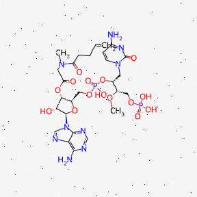 C=CCCC(=O)N(C)CC(=O)O[C@H]1[C@@H](O)[C@H](n2cnc3c(N)ncnc32)O[C@@H]1COP(=O)(O)O[C@@H](Cn1ccc(N)nc1=O)[C@@H](COP(=O)(O)O)OC